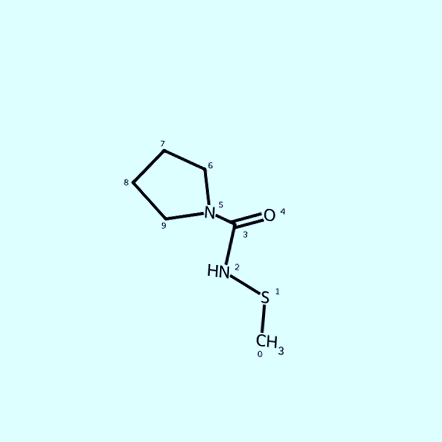 CSNC(=O)N1CCCC1